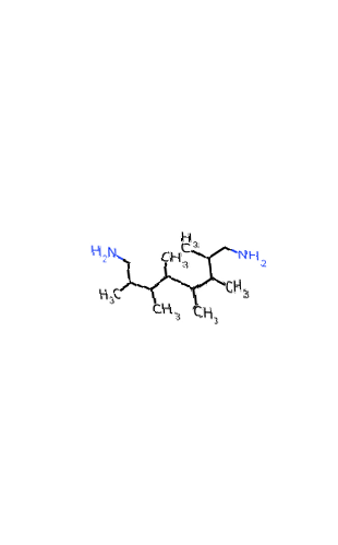 CC(CN)C(C)C(C)C(C)C(C)C(C)CN